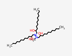 CCCCCCCCCCC(O)CN(C)N(CC(O)CCCCCCCCCC)CC(O)CCCCCCCCCC